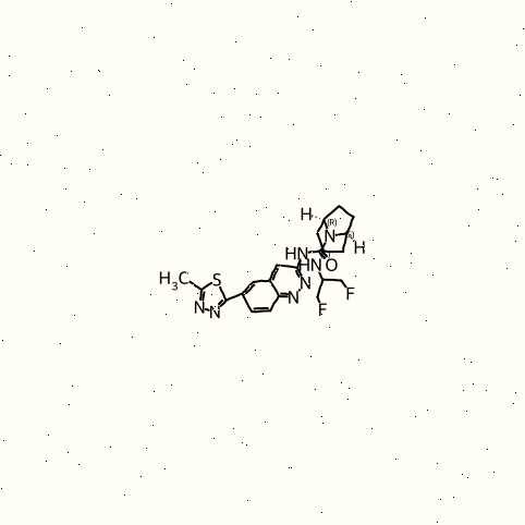 Cc1nnc(-c2ccc3nnc(NC(=O)N4[C@@H]5CC[C@H]4C[C@H](NC(CF)CF)C5)cc3c2)s1